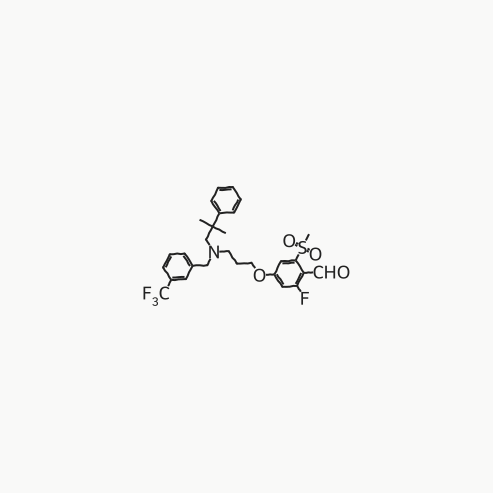 CC(C)(CN(CCCOc1cc(F)c(C=O)c(S(C)(=O)=O)c1)Cc1cccc(C(F)(F)F)c1)c1ccccc1